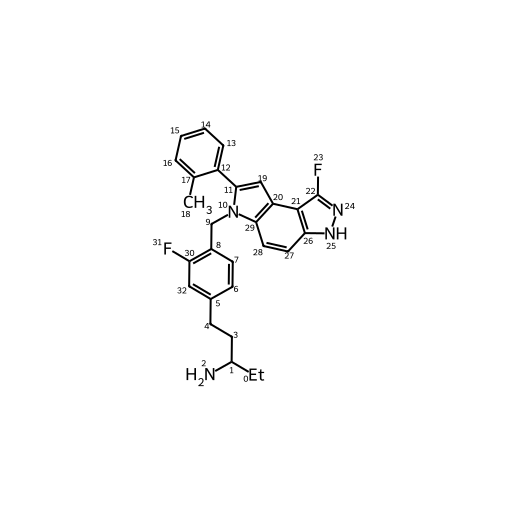 CCC(N)CCc1ccc(Cn2c(-c3ccccc3C)cc3c4c(F)n[nH]c4ccc32)c(F)c1